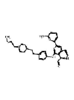 COCCN1CCN(CCc2ccc(Nc3nc(-c4cccc(C)n4)cc4c3C(C=O)NC=C4)cc2)CC1